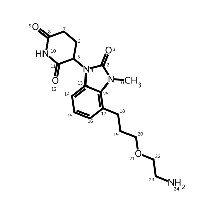 Cn1c(=O)n(C2CCC(=O)NC2=O)c2cccc(CCCOCCN)c21